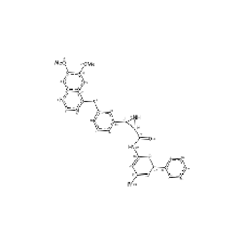 COc1cc2ncnc(Sc3cccc(C4NC4C(=O)NC4=CC(C(C)C)=CC(c5ccccc5)C4)c3)c2cc1OC